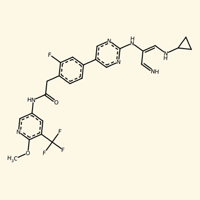 COc1ncc(NC(=O)Cc2ccc(-c3cnc(N/C(C=N)=C/NC4CC4)nc3)cc2F)cc1C(F)(F)F